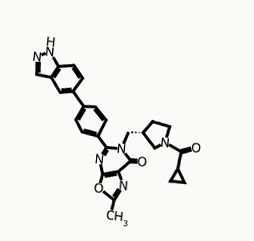 Cc1nc2c(=O)n(C[C@@H]3CCN(C(=O)C4CC4)C3)c(-c3ccc(-c4ccc5[nH]ncc5c4)cc3)nc2o1